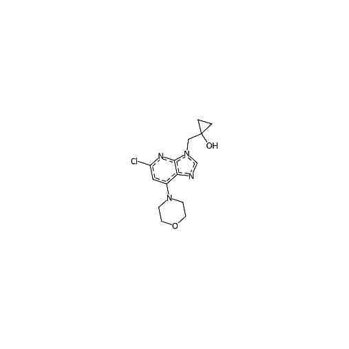 OC1(Cn2cnc3c(N4CCOCC4)cc(Cl)nc32)CC1